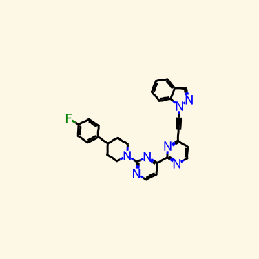 Fc1ccc(C2CCN(c3nccc(-c4nccc(C#Cn5ncc6ccccc65)n4)n3)CC2)cc1